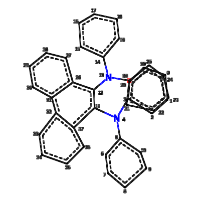 c1ccc(N(c2ccccc2)c2c(N(c3ccccc3)c3ccccc3)c3ccccc3c3ccccc23)cc1